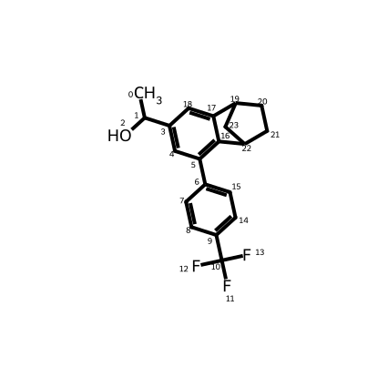 CC(O)c1cc(-c2ccc(C(F)(F)F)cc2)c2c(c1)C1CCC2C1